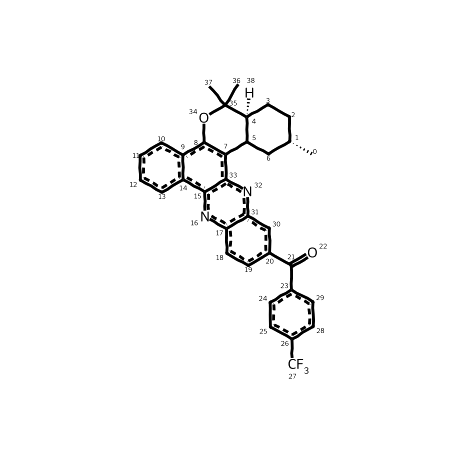 C[C@H]1CC[C@H]2C(C1)c1c(c3ccccc3c3nc4ccc(C(=O)c5ccc(C(F)(F)F)cc5)cc4nc13)OC2(C)C